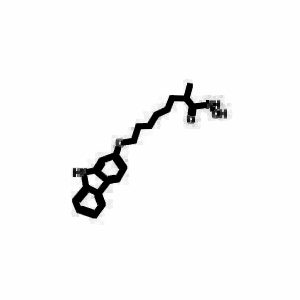 CC(CCCCCCOc1ccc2c(c1)[nH]c1ccccc12)C(=O)NO